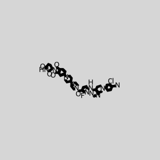 N#Cc1ccc(N2CCc3c(ncnc3Nc3ccc(C(=O)N4CCN(C5CCN(c6ccc7c(c6)C(=O)N(C6CCC(=O)NC6=O)C7=O)CC5)CC4)c(F)n3)C2)cc1Cl